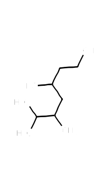 CCCC(C)CC(C)C(C)C